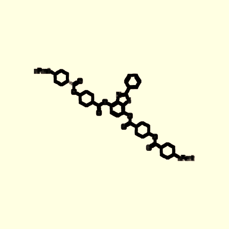 CCCCCC1CCC(C(=O)OC2CCC(C(=O)Oc3ccc(OC(=O)C4CCC(OC(=O)[C@H]5CC[C@H](CCCCC)CC5)CC4)c4nc(-c5ccccc5)sc34)CC2)CC1